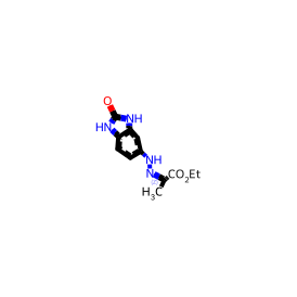 CCOC(=O)/C(C)=N\Nc1ccc2[nH]c(=O)[nH]c2c1